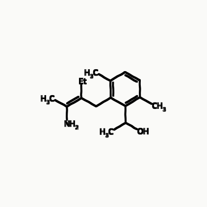 CC/C(Cc1c(C)ccc(C)c1C(C)O)=C(\C)N